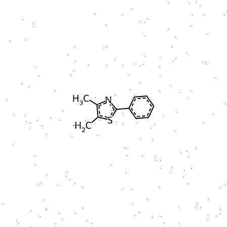 [CH2]c1sc(-c2ccccc2)nc1C